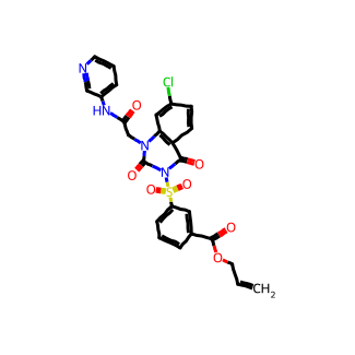 C=CCOC(=O)c1cccc(S(=O)(=O)n2c(=O)c3ccc(Cl)cc3n(CC(=O)Nc3cccnc3)c2=O)c1